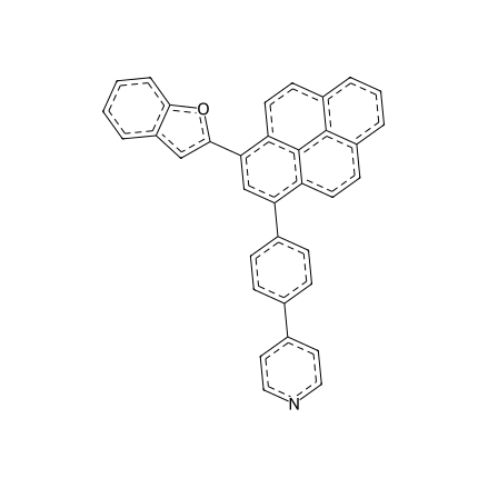 c1ccc2oc(-c3cc(-c4ccc(-c5ccncc5)cc4)c4ccc5cccc6ccc3c4c56)cc2c1